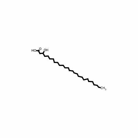 CCCCCCCCCCCCCCCCCCCCCCCCC(O)CC(=O)O